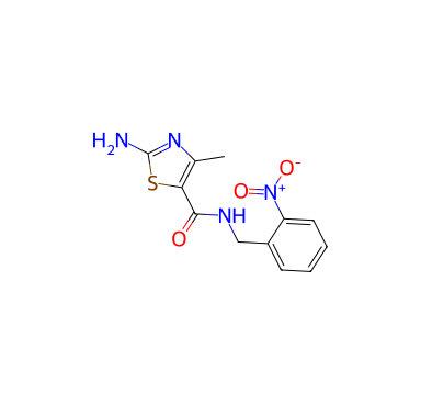 Cc1nc(N)sc1C(=O)NCc1ccccc1[N+](=O)[O-]